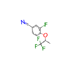 CC(Oc1ccc(C#N)cc1F)C(F)(F)F